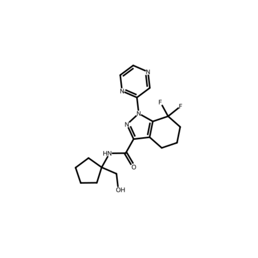 O=C(NC1(CO)CCCC1)c1nn(-c2cnccn2)c2c1CCCC2(F)F